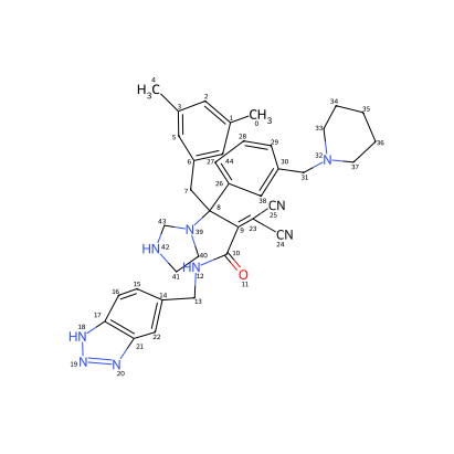 Cc1cc(C)cc(CC(C(C(=O)NCc2ccc3[nH]nnc3c2)=C(C#N)C#N)(c2cccc(CN3CCCCC3)c2)N2CCNC2)c1